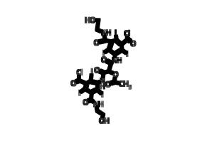 CC(=O)OC(C(=O)Nc1c(I)c(C(=O)Cl)c(I)c(C(=O)NCCO)c1I)C(=O)Nc1c(I)c(C(=O)Cl)c(I)c(C(=O)NCCO)c1I